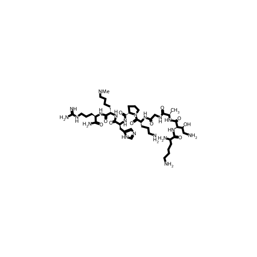 CNCCCC[C@H](NC(=O)[C@H](Cc1cnc[nH]1)NC(=O)[C@@H]1CCCN1C(=O)[C@@H](CCCN)NC(=O)CNC(=O)[C@H](C)NC(=O)[C@@H](NC(=O)C(N)CCCCN)[C@@H](O)CN)C(=O)N[C@H](CCCNC(=N)N)C(N)=O